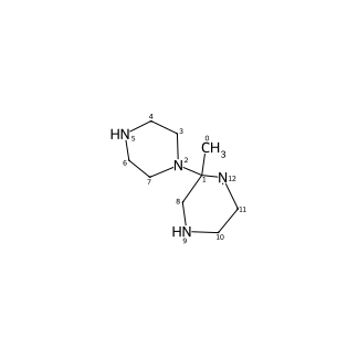 CC1(N2CCNCC2)CNCC[N]1